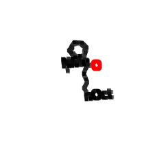 CCCCCCCCCCCC(=O)c1ccccc1.CNC